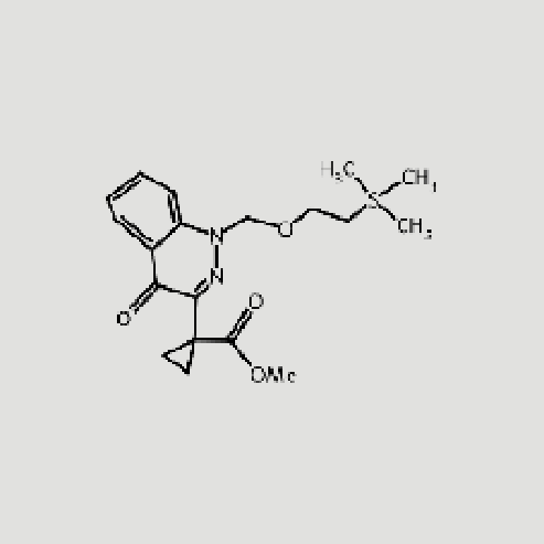 COC(=O)C1(c2nn(COCCS(C)(C)C)c3ccccc3c2=O)CC1